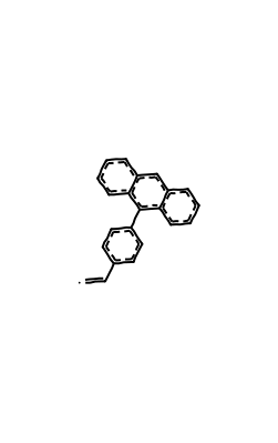 [CH]=Cc1ccc(-c2c3ccccc3cc3ccccc23)cc1